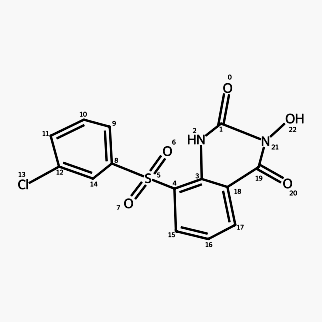 O=c1[nH]c2c(S(=O)(=O)c3cccc(Cl)c3)cccc2c(=O)n1O